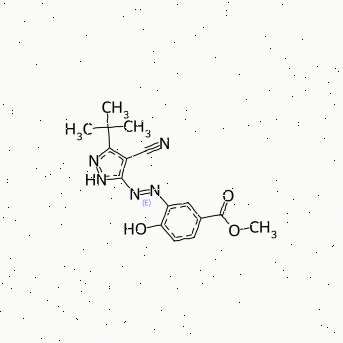 COC(=O)c1ccc(O)c(/N=N/c2[nH]nc(C(C)(C)C)c2C#N)c1